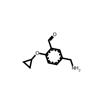 NCc1ccc(OC2CC2)c(C=O)c1